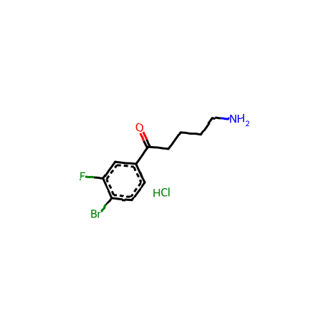 Cl.NCCCCC(=O)c1ccc(Br)c(F)c1